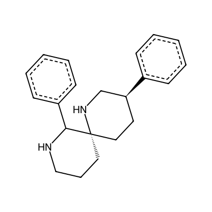 c1ccc(C2NCCC[C@]23CC[C@H](c2ccccc2)CN3)cc1